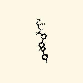 O=C(NC[C@H](O)CO)c1cccc(-c2cnc3[nH]c(-c4ccc(F)cc4)cc3c2)n1